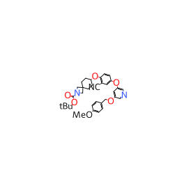 COc1ccc(COc2cncc(Oc3ccc(OC4CCC5(CC4)CN(C(=O)OC(C)(C)C)C5)c(C#N)c3)c2)cc1